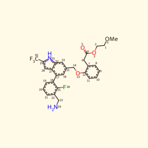 COCCOC(=O)Cc1ccccc1OCc1cc(-c2cccc(CN)c2F)c2cc(C(F)(F)F)[nH]c2c1